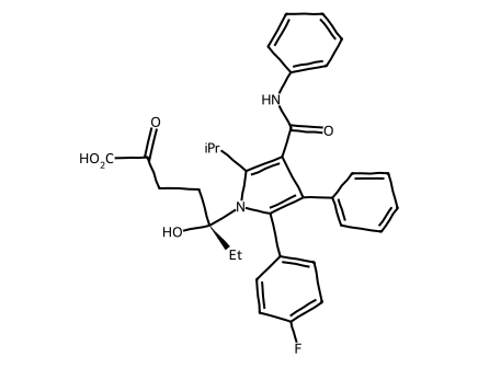 CC[C@@](O)(CCC(=O)C(=O)O)n1c(-c2ccc(F)cc2)c(-c2ccccc2)c(C(=O)Nc2ccccc2)c1C(C)C